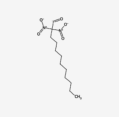 CCCCCCCCCCC([C]=O)([N+](=O)[O-])[N+](=O)[O-]